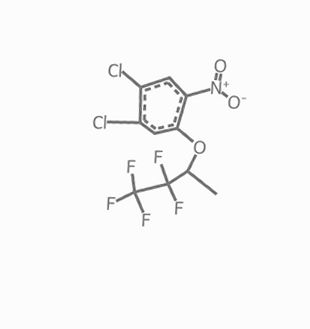 CC(Oc1cc(Cl)c(Cl)cc1[N+](=O)[O-])C(F)(F)C(F)(F)F